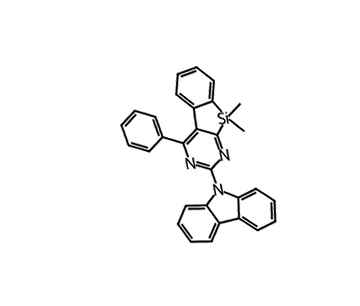 C[Si]1(C)c2ccccc2-c2c(-c3ccccc3)nc(-n3c4ccccc4c4ccccc43)nc21